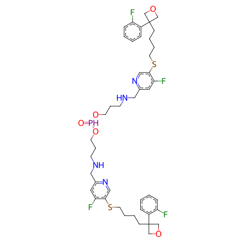 O=[PH](OCCCNCc1cc(F)c(SCCCCC2(c3ccccc3F)COC2)cn1)OCCCNCc1cc(F)c(SCCCCC2(c3ccccc3F)COC2)cn1